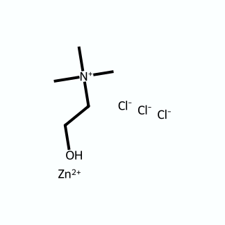 C[N+](C)(C)CCO.[Cl-].[Cl-].[Cl-].[Zn+2]